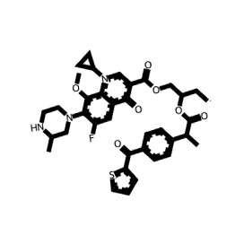 [CH2]CC(COC(=O)c1cn(C2CC2)c2c(OC)c(N3CCNC(C)C3)c(F)cc2c1=O)OC(=O)C(C)c1ccc(C(=O)c2cccs2)cc1